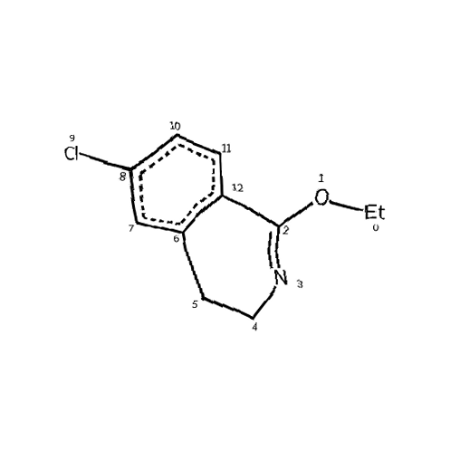 CCOC1=NCCc2cc(Cl)ccc21